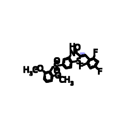 COc1cccc(OC)c1CS(=O)(=O)c1ccc2c(c1)NC(=O)/C(=C/c1c(F)cc(F)cc1F)S2